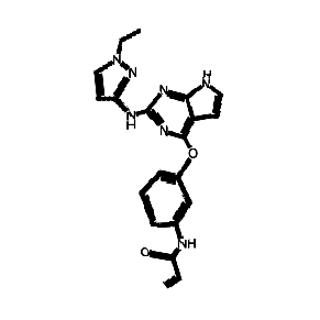 C=CC(=O)Nc1cccc(Oc2nc(Nc3ccn(CC)n3)nc3[nH]ccc23)c1